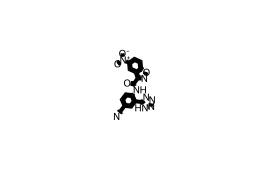 N#Cc1ccc(NC(=O)c2noc3ccc([N+](=O)[O-])cc23)c(-c2nnn[nH]2)c1